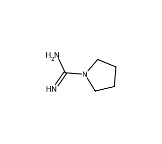 N=C(N)N1[CH]CCC1